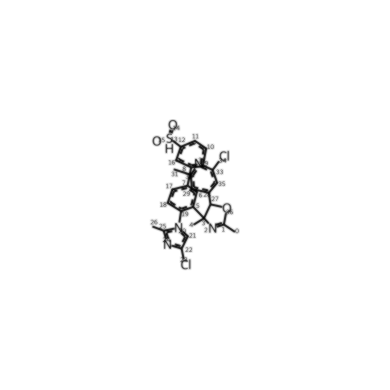 CC1=NC(C)(c2cc(-c3cccc([SH](=O)=O)c3)ccc2-n2cc(Cl)nc2C)C(c2cc(C)nc(Cl)c2)O1